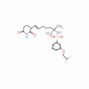 CC(C)(CCC/C=C/C1CCC(=O)NC1=O)NS(=O)(=O)c1cccc(OCC(F)F)c1